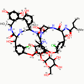 CNC(CC(C)C)C(=O)NC1C(=O)NC2CC(O)N(C2=O)C2C(=O)NC3(C=O)CNC(C(=O)NC(C(=O)O)c4cc(O)cc(O)c4-c4cc3ccc4O)C(O)c3ccc(c(Cl)c3)Oc3cc2cc(c3OC2OC(CO)C(O)C(O)C2OC2CC(C)(N)C(O)C(C)O2)Oc2ccc(cc2Cl)C1O